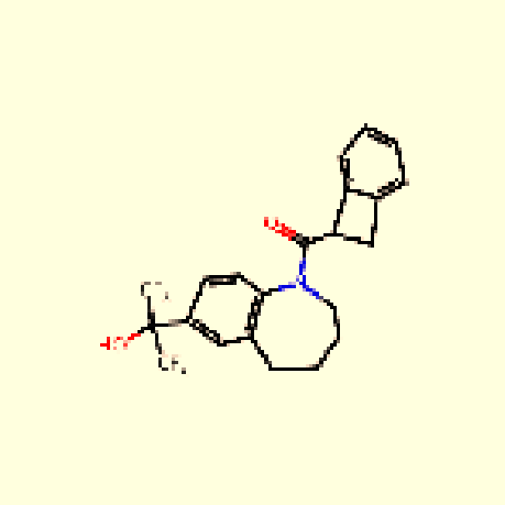 O=C(C1Cc2ccccc21)N1CCCCc2cc(C(O)(C(F)(F)F)C(F)(F)F)ccc21